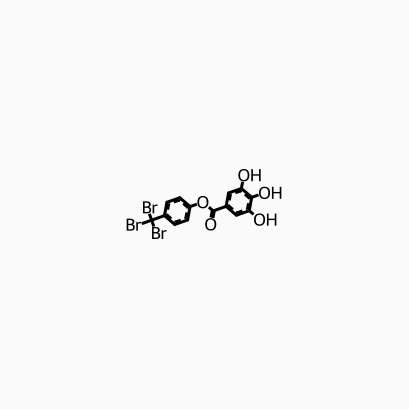 O=C(Oc1ccc(C(Br)(Br)Br)cc1)c1cc(O)c(O)c(O)c1